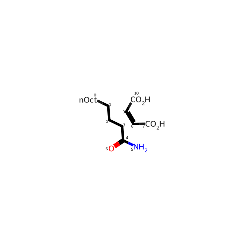 CCCCCCCCCCCC(N)=O.O=C(O)/C=C\C(=O)O